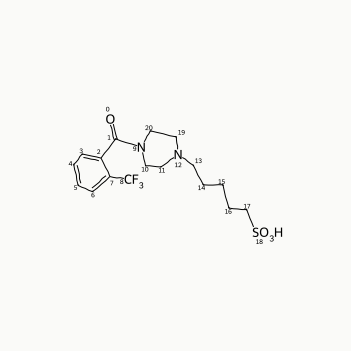 O=C(c1ccccc1C(F)(F)F)N1CCN(CCCCCS(=O)(=O)O)CC1